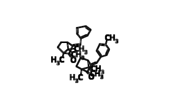 CC12CCC(C(=Cc3ccccc3)C1=O)C2(C)C.Cc1ccc(C=C2C(=O)C3(C)CCC2C3(C)C)cc1